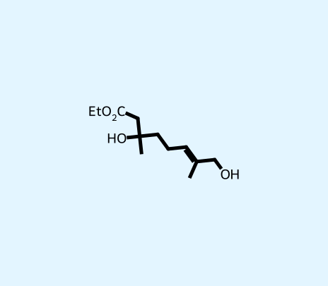 CCOC(=O)CC(C)(O)CC/C=C(\C)CO